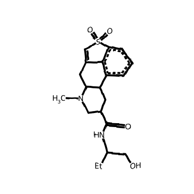 CCC(CO)NC(=O)C1CC2c3cccc4c3C(=CS4(=O)=O)CC2N(C)C1